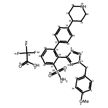 COc1ccc(Cn2nnc(-c3c(-c4ccc(C5CCNCC5)cc4)cccc3S(N)(=O)=O)n2)cc1.O=C(O)C(F)(F)F